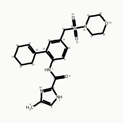 Cc1c[nH]c(C(=O)Nc2ccc(CS(=O)(=O)N3CCOCC3)cc2C2=CCCCC2)n1